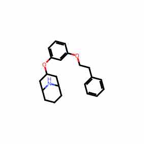 c1ccc(CCOc2cccc(OC3CC4CCCC(C3)N4)c2)cc1